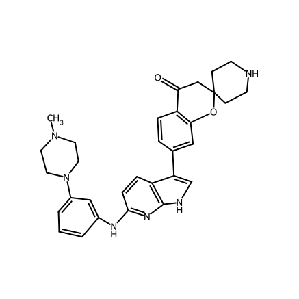 CN1CCN(c2cccc(Nc3ccc4c(-c5ccc6c(c5)OC5(CCNCC5)CC6=O)c[nH]c4n3)c2)CC1